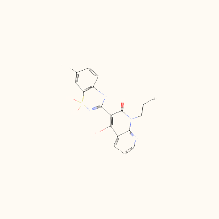 CC(=O)Oc1ccc2c(c1)S(O)(O)N=C(c1c(O)c3cccnc3n(CCC(C)C)c1=O)N2